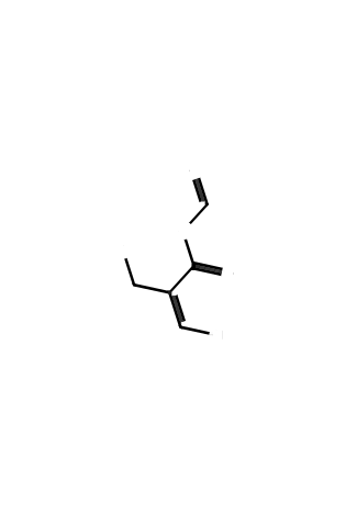 CC=C(CC)C(=O)OC=O